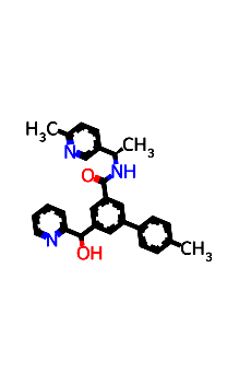 Cc1ccc(-c2cc(C(=O)N[C@H](C)c3ccc(C)nc3)cc(C(O)c3ccccn3)c2)cc1